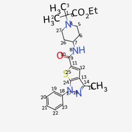 CCOC(=O)C(C)(C)N1CCC(NC(=O)c2cc3c(C)nn(-c4ccccc4)c3s2)CC1